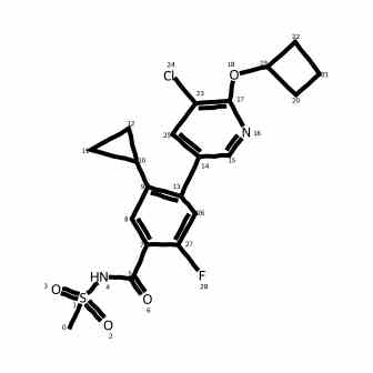 CS(=O)(=O)NC(=O)c1cc(C2CC2)c(-c2cnc(OC3CCC3)c(Cl)c2)cc1F